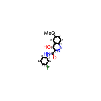 COc1ccc2nnc(C(=O)Nc3cccc(F)c3)c(O)c2c1